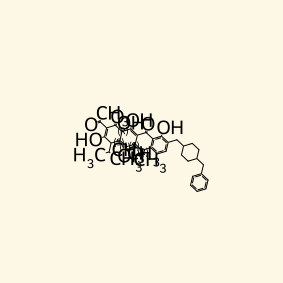 CC(=O)C1=C(O)C(C(C)C)[C@@]2(C)[C@H](O)[C@]3(C)C(=C(O)[C@@]2(O)C1=O)C(=O)c1c(ccc(CC2CCC(Cc4ccccc4)CC2)c1O)[C@H]3C